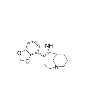 c1cc2[nH]c3c(c2c2c1OCO2)CCN1CCCC3C1